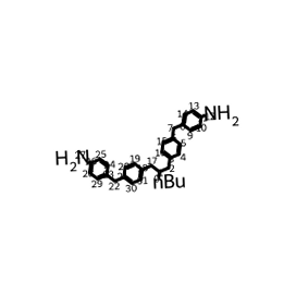 CCCCC(Cc1ccc(Cc2ccc(N)cc2)cc1)Cc1ccc(Cc2ccc(N)cc2)cc1